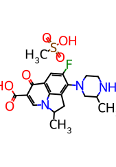 CC1CN(c2c(F)cc3c(=O)c(C(=O)O)cn4c3c2CC4C)CCN1.CS(=O)(=O)O